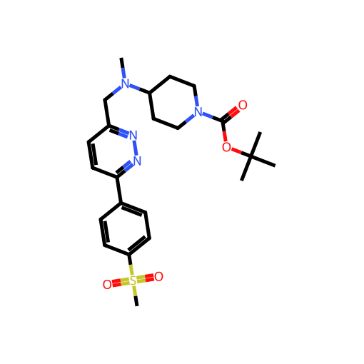 CN(Cc1ccc(-c2ccc(S(C)(=O)=O)cc2)nn1)C1CCN(C(=O)OC(C)(C)C)CC1